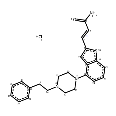 Cl.NC(=O)/C=C/c1cc2c(N3CCN(CCc4ccccc4)CC3)cccc2s1